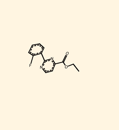 CCOC(=O)c1ccnc(-c2ccccc2F)n1